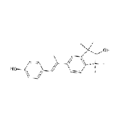 CC(=Cc1ccc(O)cc1)c1ccc2c(c1)C(C)(C)C(O)C2(C)C